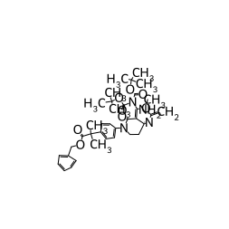 C=C(/N=C1/CCN(c2ccc(C(C)(C)C(=O)OCc3ccccc3)cc2)C(=O)/C1=C(/N)N(C(=O)OC(C)(C)C)C(=O)OC(C)(C)C)OC